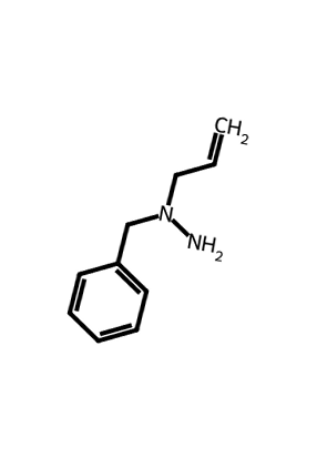 C=CCN(N)Cc1ccccc1